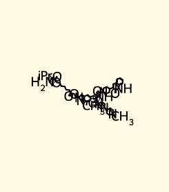 Cc1cc(C[C@@H](NC(=O)N2CCC(c3cc4ccccc4[nH]c3=O)CC2)C(=O)N2CCN(C3CCN(C)CC3)CC2)cc2cn(COC(=O)CCCCCOC(=O)[C@@H](N)C(C)C)nc12